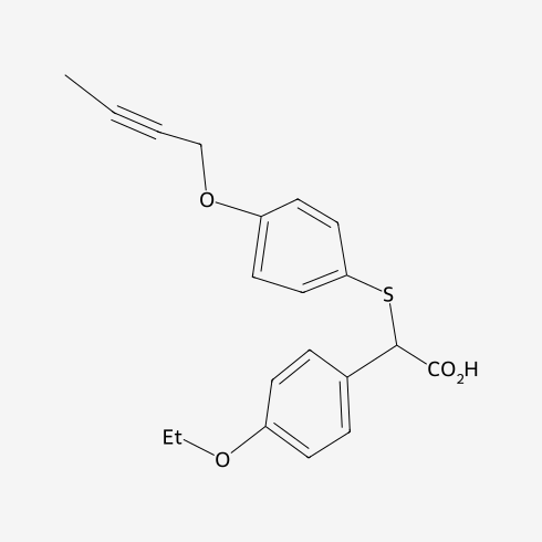 CC#CCOc1ccc(SC(C(=O)O)c2ccc(OCC)cc2)cc1